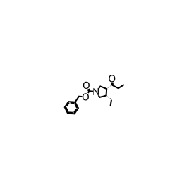 CCC(=O)[C@H]1CN(C(=O)OCc2ccccc2)C[C@H]1CC